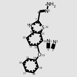 C#N.C#N.NN=Cc1nc2ccc(Oc3ccccc3)cc2s1